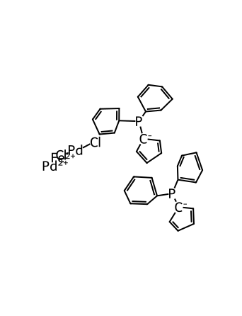 [Cl][Pd][Cl].[Fe+2].[Pd+2].c1ccc(P(c2ccccc2)[c-]2cccc2)cc1.c1ccc(P(c2ccccc2)[c-]2cccc2)cc1